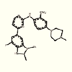 COc1cc(N2CCN(C)CC2)ccc1Nc1nccc(-c2cc(F)c3c(c2)N(C(C)C)C(C)N3)n1